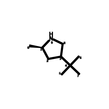 C[C@@H]1CC(C(C)(C)C)CN1